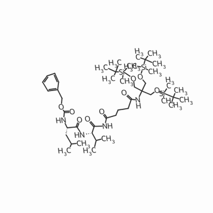 CC(C)C[C@H](NC(=O)OCc1ccccc1)C(=O)N[C@H](C(=O)NC(=O)CCCC(=O)NC(CO[Si](C)(C)C(C)(C)C)(CO[Si](C)(C)C(C)(C)C)CO[Si](C)(C)C(C)(C)C)C(C)C